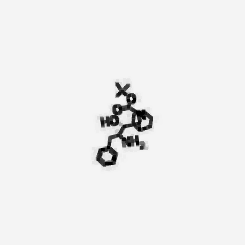 CC(C)(C)OC(=O)N1C2CCC(CC2)C1[C@@H](O)[C@@H](N)Cc1ccccc1